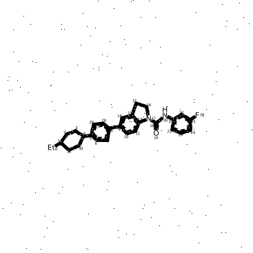 CCC1CCC(c2ccc(-c3ccc4c(c3)CCN4C(=O)Nc3cccc(F)c3)cc2)CC1